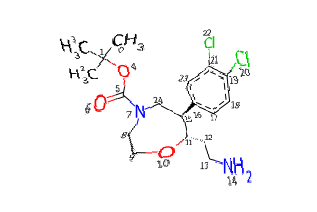 CC(C)(C)OC(=O)N1CCO[C@@H](CCN)[C@H](c2ccc(Cl)c(Cl)c2)C1